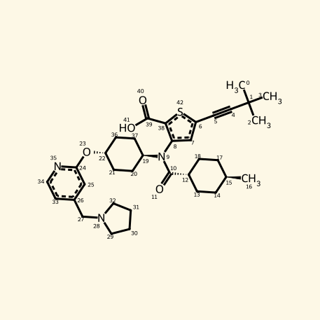 CC(C)(C)C#Cc1cc(N(C(=O)[C@H]2CC[C@H](C)CC2)[C@H]2CC[C@H](Oc3cc(CN4CCCC4)ccn3)CC2)c(C(=O)O)s1